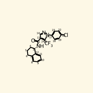 O=C(N[C@H]1CCCc2ccccc21)c1cnn(-c2ccc(Cl)cc2)c1C(F)(F)F